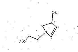 CC(=O)OCCN1C=CN(C)C1